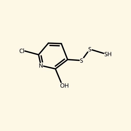 Oc1nc(Cl)ccc1SSS